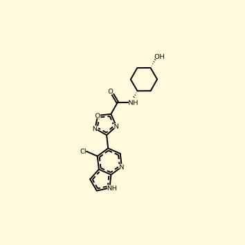 O=C(N[C@H]1CC[C@@H](O)CC1)c1nc(-c2cnc3[nH]ccc3c2Cl)no1